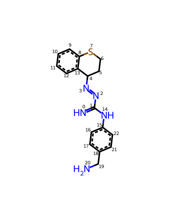 N=C(N=NC1CCSc2ccccc21)Nc1ccc(CN)cc1